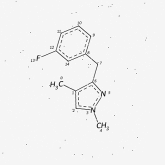 Cc1cn(C)nc1[CH]c1cccc(F)c1